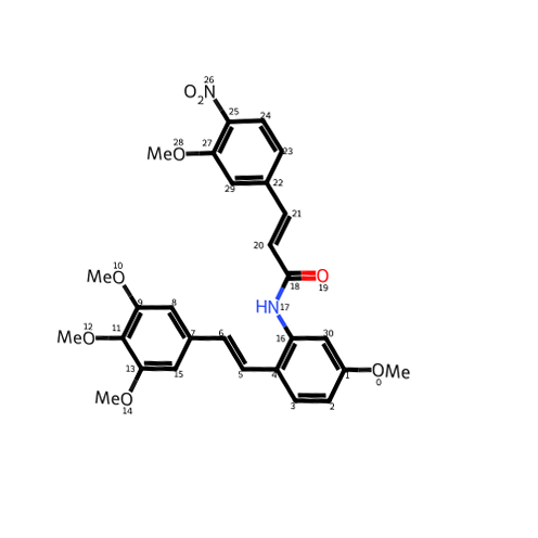 COc1ccc(C=Cc2cc(OC)c(OC)c(OC)c2)c(NC(=O)/C=C/c2ccc([N+](=O)[O-])c(OC)c2)c1